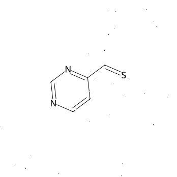 S=Cc1ccncn1